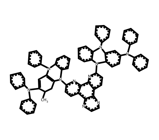 CC1CC2=C(C=C1N(c1ccccc1)c1ccccc1)N(c1ccccc1)c1ccccc1N2c1ccc2c3nccnc3c3ccc(N4c5ccccc5N(c5ccccc5)c5cc(N(c6ccccc6)c6ccccc6)ccc54)nc3c2n1